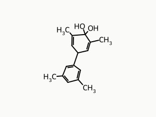 CC1=CC(c2cc(C)cc(C)c2)C=C(C)C1(O)O